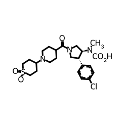 CN(C(=O)O)[C@@H]1CN(C(=O)C2CCN(C3CCS(=O)(=O)CC3)CC2)C[C@H]1c1ccc(Cl)cc1